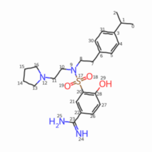 CC(C)c1ccc(CCN(CCN2CCCC2)S(=O)(=O)c2cc(C(=N)N)ccc2O)cc1